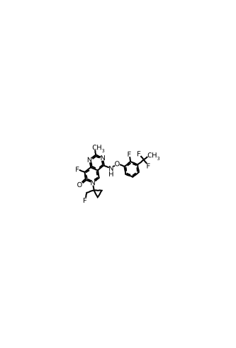 Cc1nc(NOc2cccc(C(C)(F)F)c2F)c2cn(C3(CF)CC3)c(=O)c(F)c2n1